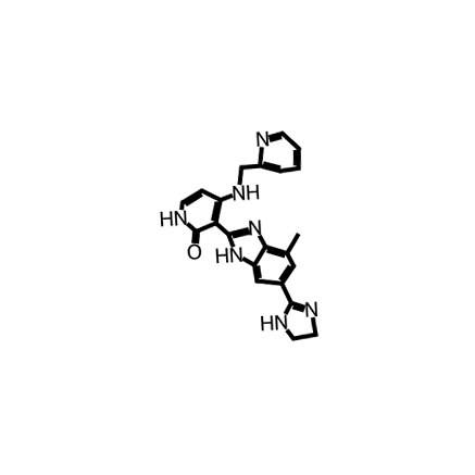 Cc1cc(C2=NCCN2)cc2[nH]c(-c3c(NCc4ccccn4)cc[nH]c3=O)nc12